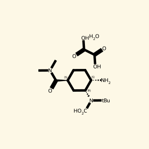 CN(C)C(=O)[C@H]1CC[C@H](N)[C@H](N(C(=O)O)C(C)(C)C)C1.O.O=C(O)C(=O)O